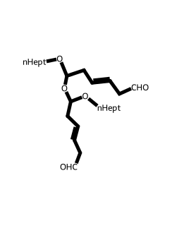 CCCCCCCOC(CC=CCC=O)OC(CC=CCC=O)OCCCCCCC